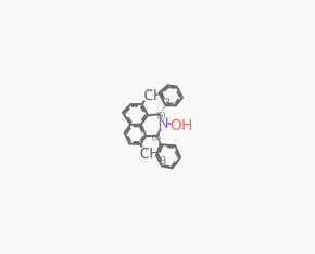 Cc1ccc2ccc(C)c3c2c1[C@H](c1ccccc1)N(O)[C@H]3c1ccccc1